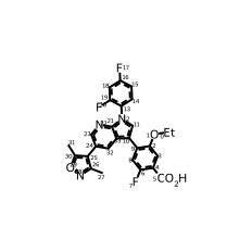 CCOc1cc(C(=O)O)c(F)cc1-c1cn(-c2ccc(F)cc2F)c2ncc(-c3c(C)noc3C)cc12